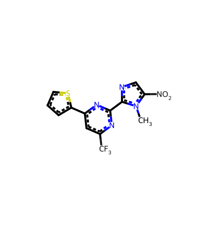 Cn1c([N+](=O)[O-])cnc1-c1nc(-c2cccs2)cc(C(F)(F)F)n1